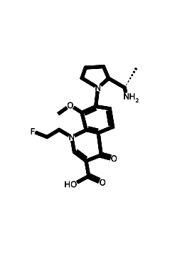 COc1c(N2CCCC2[C@H](C)N)ccc2c(=O)c(C(=O)O)cn(CCF)c12